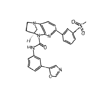 CS(=O)(=O)c1cccc(-c2ccc3c(n2)N(C(=O)Nc2cccc(-c4cnco4)c2)[C@H]2CCN3C2)c1